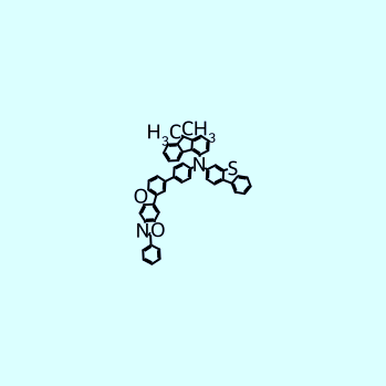 CC1(C)c2ccccc2-c2c(N(c3ccc(-c4ccc5oc6cc7nc(-c8ccccc8)oc7cc6c5c4)cc3)c3ccc4c(c3)sc3ccccc34)cccc21